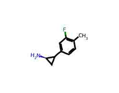 Cc1ccc(C2C[C@H]2N)cc1F